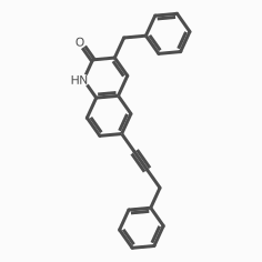 O=c1[nH]c2ccc(C#CCc3ccccc3)cc2cc1Cc1ccccc1